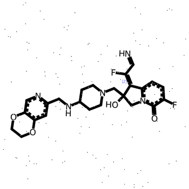 N=C/C(F)=C1\c2ccc(F)c(=O)n2CC1(O)CN1CCC(NCc2cc3c(cn2)OCCO3)CC1